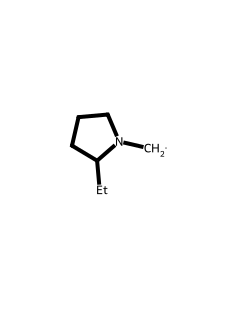 [CH2]N1CCCC1CC